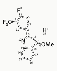 COc1cc(-c2ccc(F)c(C(F)(F)F)c2)nc2ccccc12.[H+]